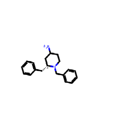 NC1CCN(Cc2ccccc2)[C@H](Cc2ccccc2)C1